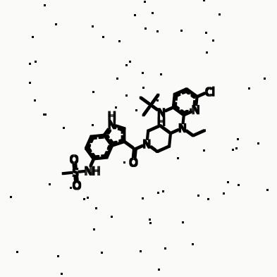 CCN(c1nc(Cl)ccc1NC(C)(C)C)C1CCN(C(=O)c2c[nH]c3ccc(NS(C)(=O)=O)cc23)CC1